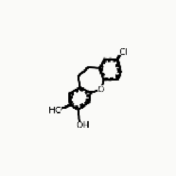 Oc1cc2c(cc1O)Oc1ccc(Cl)cc1CC2